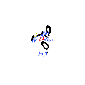 NC[C@H]1CC[C@H](C(=O)N[C@@H](Cc2ccccc2)c2nc(-c3nccs3)c[nH]2)CC1